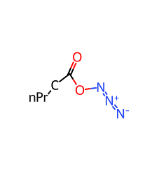 CCCCC(=O)ON=[N+]=[N-]